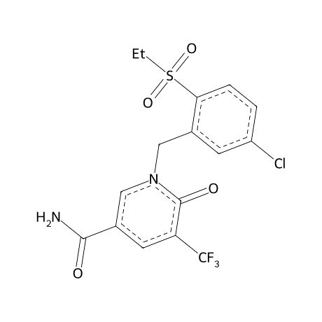 CCS(=O)(=O)c1ccc(Cl)cc1Cn1cc(C(N)=O)cc(C(F)(F)F)c1=O